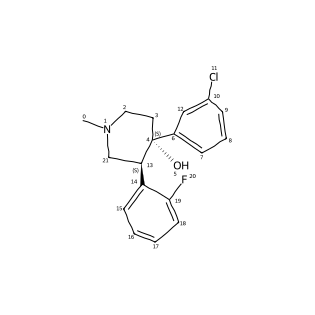 CN1CC[C@@](O)(c2cccc(Cl)c2)[C@@H](c2ccccc2F)C1